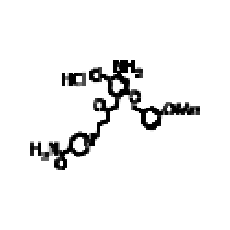 COc1cccc(COc2cc(N)c(Cl)cc2CC(=O)CCCN2CCC(C(N)=O)CC2)c1.Cl